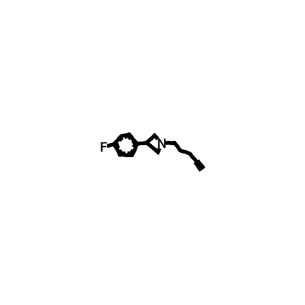 C#CCCCN1CC(c2ccc(F)cc2)C1